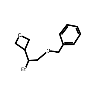 CCC(COCc1ccccc1)C1COC1